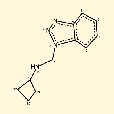 c1ccc2c(c1)nnn2CNC1CCC1